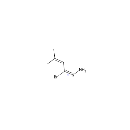 CC(C)=C/C(Br)=N\N